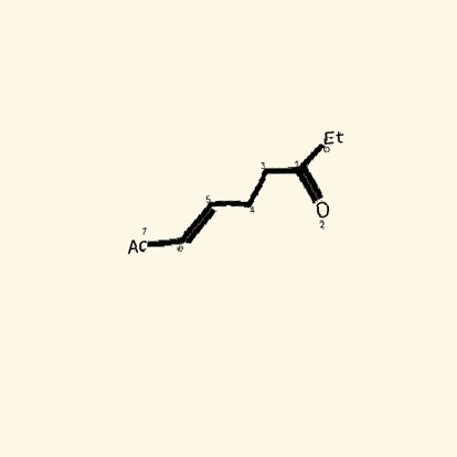 CCC(=O)CCC=CC(C)=O